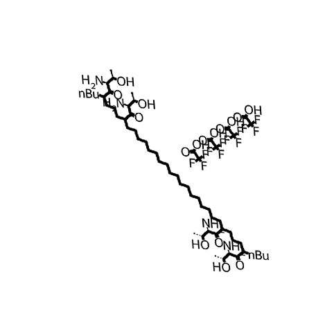 CCCCC(CCCC(CCCCCCCCCCCCCCCCCCC(CCCC(CCCC)C(=O)[C@@H](N)[C@@H](C)O)C(=O)[C@@H](N)[C@@H](C)O)C(=O)[C@@H](N)[C@@H](C)O)C(=O)[C@@H](N)[C@@H](C)O.O=C(O)C(F)(F)F.O=C(O)C(F)(F)F.O=C(O)C(F)(F)F.O=C(O)C(F)(F)F